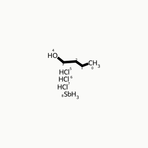 CCCCO.Cl.Cl.Cl.[SbH3]